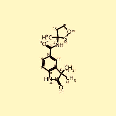 CC1(NC(=O)c2ccc3c(c2)C(C)(C)C(=O)N3)CCOS1